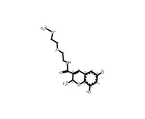 O=C(NCCOCCO[N+](=O)[O-])C1=Cc2cc(Cl)cc(Cl)c2OC1C(F)(F)F